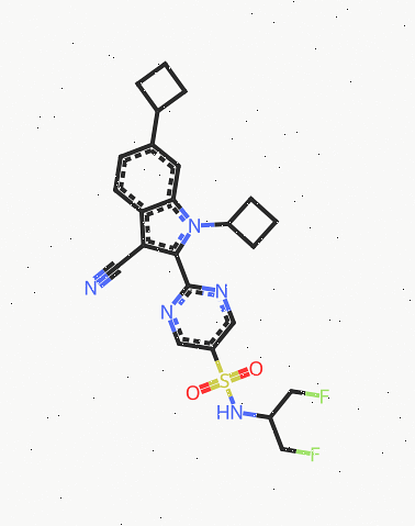 N#Cc1c(-c2ncc(S(=O)(=O)NC(CF)CF)cn2)n(C2CCC2)c2cc(C3CCC3)ccc12